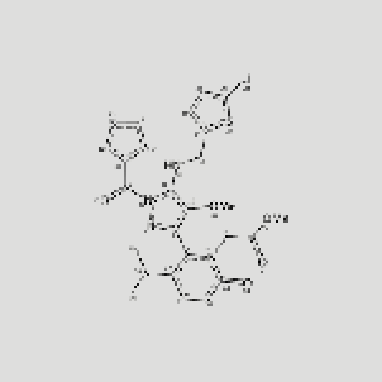 COC(=O)Cn1c(-c2nn(C(=O)c3cscn3)c(NCc3ccc(Cl)s3)c2OC)c(N(C)C)ccc1=O